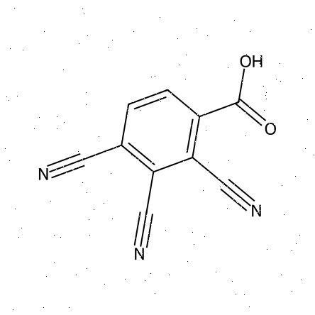 N#Cc1ccc(C(=O)O)c(C#N)c1C#N